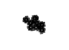 c1ccc(-c2ccc(-n3c4ccccc4c4cccc(-c5ccc6c(c5)c5ncccc5n6-c5cccc(-c6ccccc6)c5)c43)cc2)cc1